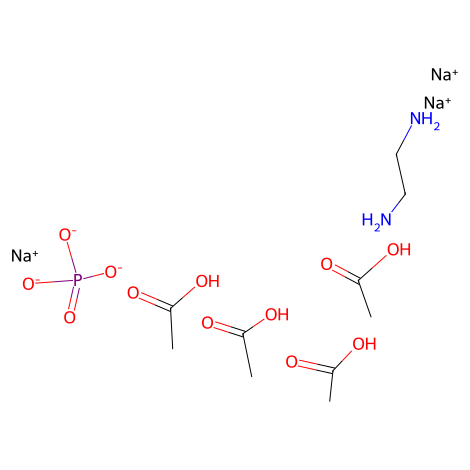 CC(=O)O.CC(=O)O.CC(=O)O.CC(=O)O.NCCN.O=P([O-])([O-])[O-].[Na+].[Na+].[Na+]